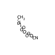 C=CCc1ccc(C=CC(=O)Oc2ccc(C(=O)Oc3ccc(C#N)cc3)cc2)s1